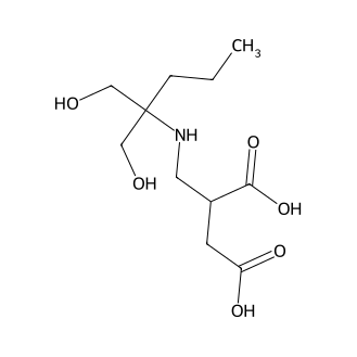 CCCC(CO)(CO)NCC(CC(=O)O)C(=O)O